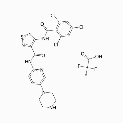 O=C(Nc1ccc(N2CCNCC2)cn1)c1nscc1NC(=O)c1c(Cl)cc(Cl)cc1Cl.O=C(O)C(F)(F)F